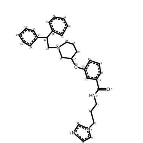 O=C(NCCCn1ccnc1)c1cccc(OC2CCCN(CC(c3ccccc3)c3ccccc3)C2)c1